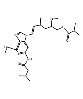 CNc1nc(NC(=O)CC(C)C)nc2c1ncn2C=CC(C)CC(COC(=O)C(C)C)OC